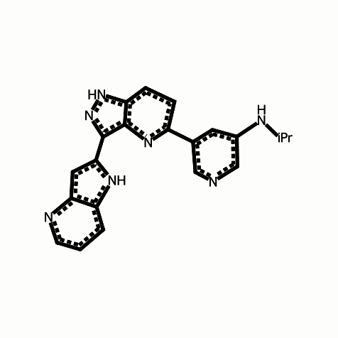 CC(C)Nc1cncc(-c2ccc3[nH]nc(-c4cc5ncccc5[nH]4)c3n2)c1